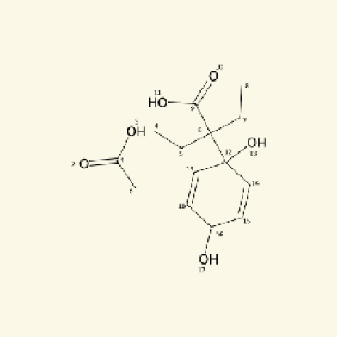 CC(=O)O.CCC(CC)(C(=O)O)C1(O)C=CC(O)C=C1